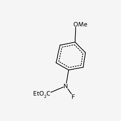 CCOC(=O)N(F)c1ccc(OC)cc1